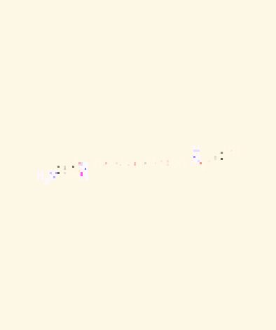 Nc1ccc2cc(C(=O)NCCOCCOCCOCCOCCOCCOCOCOCCNC(=O)CCc3ccc(O)cc3)c(=O)oc2c1